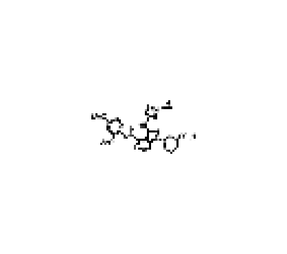 COc1ccc(CNc2nccc3c2c(Nc2cnn(C4CC4)c2)nn3C2CCCN(C(=O)O)C2)c(OC)c1